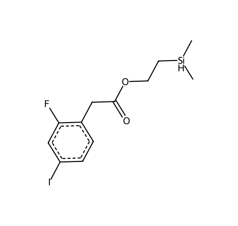 C[SiH](C)CCOC(=O)Cc1ccc(I)cc1F